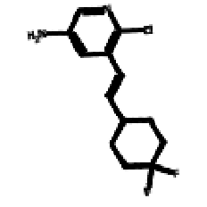 Nc1cnc(Cl)c(C=CC2CCC(F)(F)CC2)c1